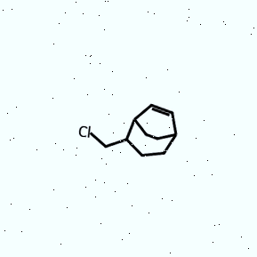 ClCC1CCC2C=CC1CC2